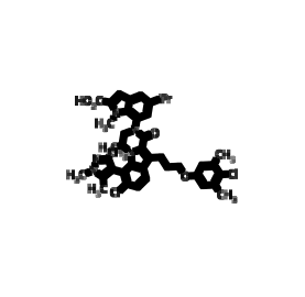 Cc1cc(OCCCc2c3n(c4c(-c5c(C)nn(C)c5C)c(Cl)ccc24)C(C)CN(c2cc(C(C)C)cc4cc(C(=O)O)n(C)c24)C3=O)cc(C)c1Cl